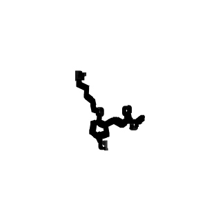 COC(=O)/C=C/c1cc(Cl)ccc1OCCCCCBr